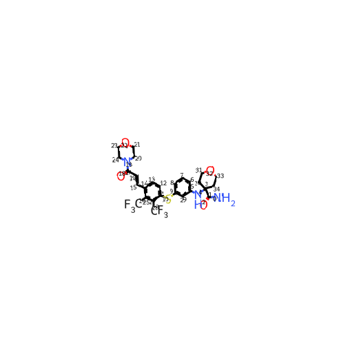 NC(=O)C1(Nc2cccc(Sc3ccc(C=CC(=O)N4CCOCC4)c(C(F)(F)F)c3C(F)(F)F)c2)CCOCC1